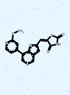 COc1cc(-c2cncc3cc(C=C4SC(=O)NC4=O)oc23)ccn1